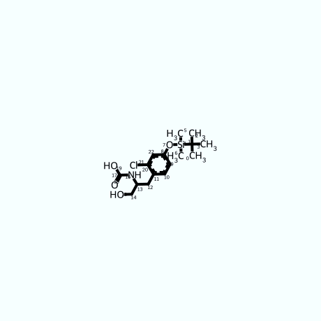 CC(C)(C)[Si](C)(C)Oc1ccc(CC(CO)NC(=O)O)c(Cl)c1